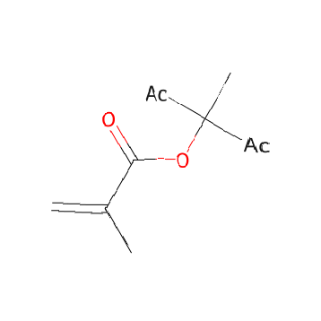 C=C(C)C(=O)OC(C)(C(C)=O)C(C)=O